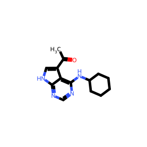 CC(=O)c1c[nH]c2ncnc(NC3CCCCC3)c12